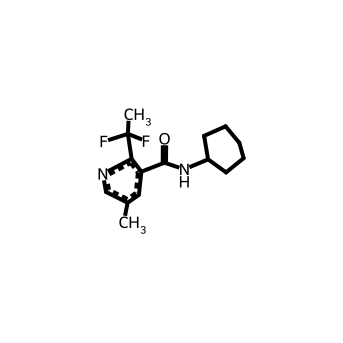 Cc1cnc(C(C)(F)F)c(C(=O)NC2CCCCC2)c1